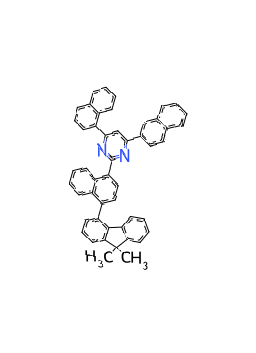 CC1(C)c2ccccc2-c2c(-c3ccc(-c4nc(-c5ccc6ccccc6c5)cc(-c5cccc6ccccc56)n4)c4ccccc34)cccc21